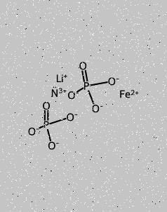 O=P([O-])([O-])[O-].O=P([O-])([O-])[O-].[Fe+2].[Li+].[N+3]